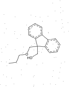 CCCOCC1(CO)c2ccccc2-c2ccccc21